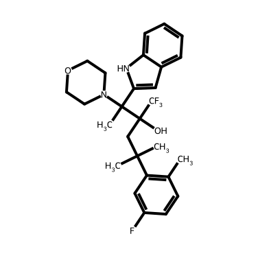 Cc1ccc(F)cc1C(C)(C)CC(O)(C(F)(F)F)C(C)(c1cc2ccccc2[nH]1)N1CCOCC1